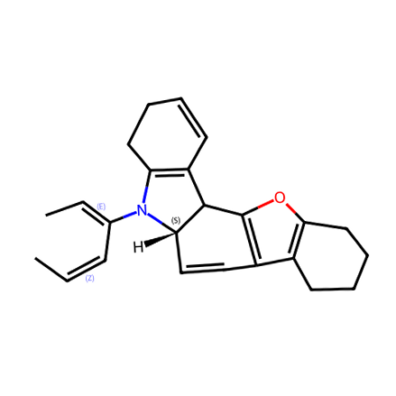 C/C=C\C(=C/C)N1C2=C(C=CCC2)C2c3oc4c(c3C=C[C@@H]21)CCCC4